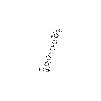 CCOc1ccc(C2=CCC(C3CCC(OCC4CCC(c5ccc(C(C)O)c(F)c5F)CC4)CC3)CC2)c(F)c1F